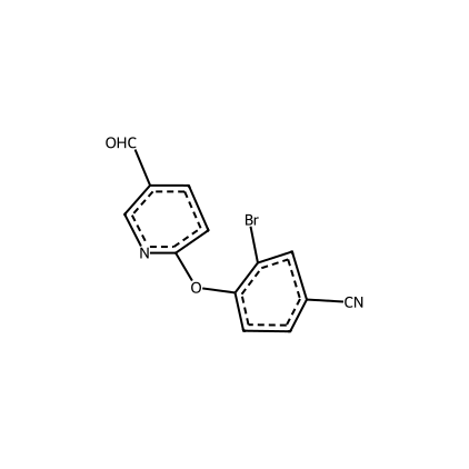 N#Cc1ccc(Oc2ccc(C=O)cn2)c(Br)c1